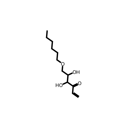 C=CC(=O)C(O)C(O)COCCCCCC